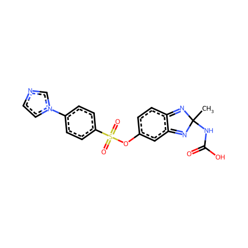 CC1(NC(=O)O)N=c2ccc(OS(=O)(=O)c3ccc(-n4ccnc4)cc3)cc2=N1